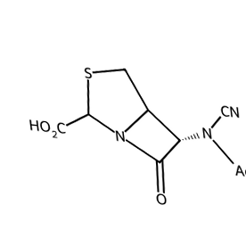 CC(=O)N(C#N)[C@@H]1C(=O)N2C(C(=O)O)SCC12